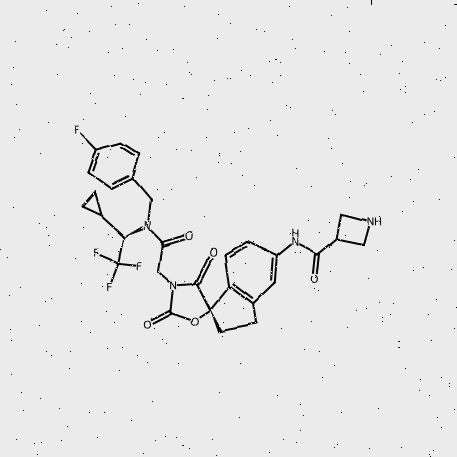 O=C(Nc1ccc2c(c1)CC[C@]21OC(=O)N(CC(=O)N(Cc2ccc(F)cc2)[C@H](C2CC2)C(F)(F)F)C1=O)C1CNC1